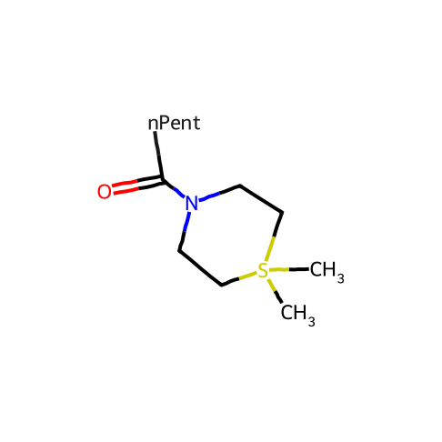 CCCCCC(=O)N1CCS(C)(C)CC1